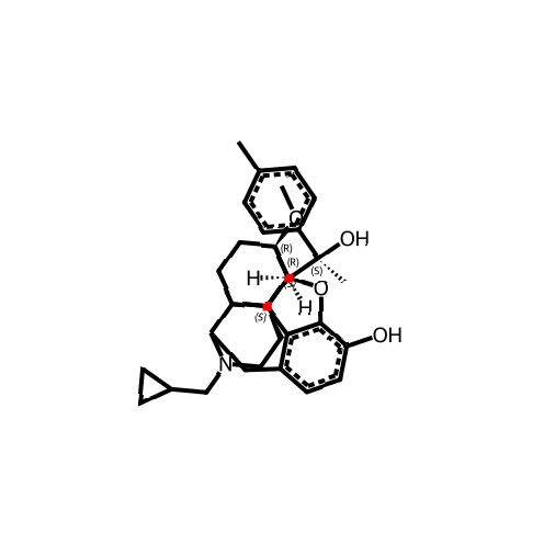 CO[C@]12CCC3(C[C@@H]1[C@](C)(O)c1ccc(C)cc1)C1Cc4ccc(O)c5c4[C@@]3(CCN1CC1CC1)[C@@H]2O5